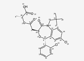 C[C@@H](OC(=O)C[C@@H]1O[C@@H](c2ccccc2Cl)c2cc(Cl)ccc2N(CC(C)(C)C)C1=O)C(=O)O